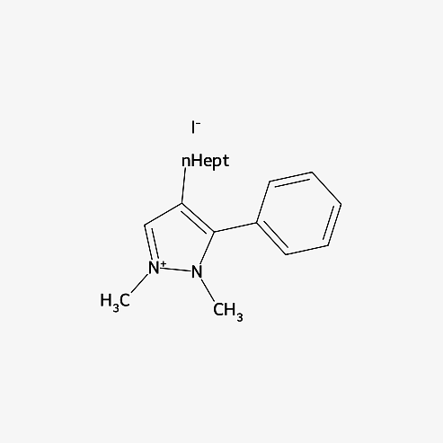 CCCCCCCc1c[n+](C)n(C)c1-c1ccccc1.[I-]